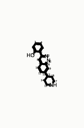 Oc1ccccc1-c1cc2ccc(C3CCNCC3)cc2nn1